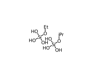 CC(C)O[Si](O)(O)O.CCO[Si](O)(O)O